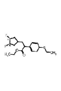 CCOC(=O)C(CC1C[C@@H](F)[C@@H](F)C1)C1=CCC(SCC)C=C1